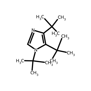 CC(C)(C)c1ncn(C(C)(C)C)c1C(C)(C)C